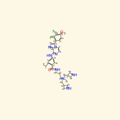 CCc1cc(Nc2nccn3c(-c4ccc(OC)c(F)c4F)cnc23)ccc1C(=O)NCCC[N+](C)(CC1CNC1)CC1CNC1